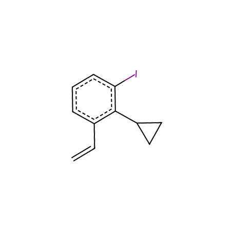 C=Cc1cccc(I)c1C1CC1